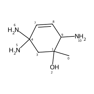 CC1(O)CC(N)(N)C=CC1N